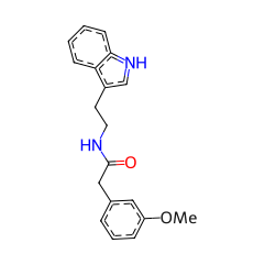 COc1cccc(CC(=O)NCCc2c[nH]c3ccccc23)c1